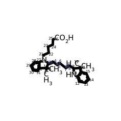 CC1(C)\C(=C/C=C/C=C/C2Nc3ccccc3C2(C)C)N(CCCCCC(=O)O)c2ccccc21